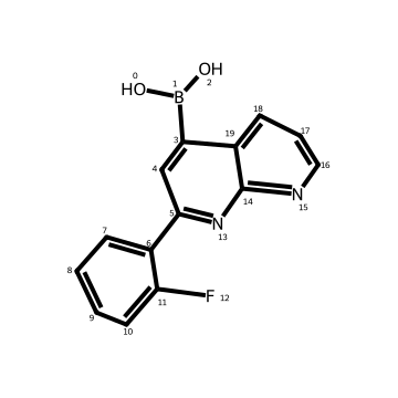 OB(O)c1cc(-c2ccccc2F)nc2ncccc12